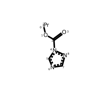 CC(C)OC(=O)n1cncn1